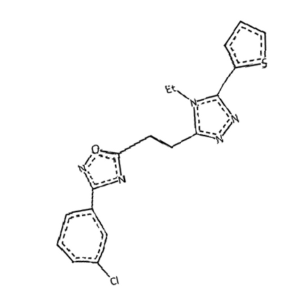 CCn1c(CCc2nc(-c3cccc(Cl)c3)no2)nnc1-c1cccs1